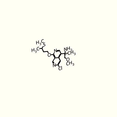 COC[C@@](C)(N)c1cnc(OCCC(C)SC)c2cnc(Cl)cc12